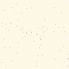 CCc1cc(N(CC)CC)ccc1NC(=O)c1c(-c2c(Cl)cccc2Cl)noc1C